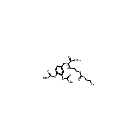 CCCCC(=O)Oc1ccc(C[C@H](NCCOC(=O)OCCC(C)C)C(=O)OC)cc1OC(=O)CCCC